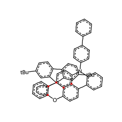 CC(C)(C)c1ccc2c(c1)C1(c3ccccc3Oc3ccc(-c4ccccc4N(c4ccc(-c5ccccc5)cc4)c4ccc(-c5ccccc5)cc4)cc31)c1cc(C(C)(C)C)ccc1-2